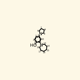 Oc1ccc(N2CCCC2)cc1N1CCCCCC1